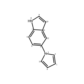 c1ccn(-c2ccc3[nH]ccc3c2)c1